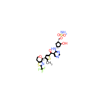 Cc1sc(C(=O)c2cncnc2N[C@@H]2C[C@H](COS(N)(=O)=O)[C@@H](O)C2)cc1[C@@H]1OCCc2sc(C(F)(F)F)nc21